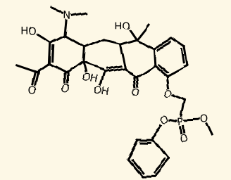 COP(=O)(COc1cccc2c1C(=O)C1=C(O)C3(O)C(=O)C(C(C)=O)=C(O)C(N(C)C)C3CC1C2(C)O)Oc1ccccc1